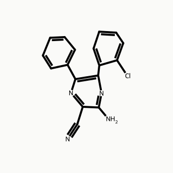 N#Cc1nc(-c2ccccc2)c(-c2ccccc2Cl)nc1N